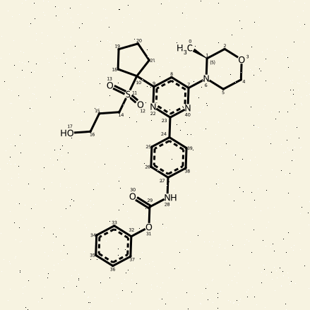 C[C@H]1COCCN1c1cc(C2(S(=O)(=O)CCCO)CCCC2)nc(-c2ccc(NC(=O)Oc3ccccc3)cc2)n1